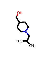 C[C](C)CN1CCC(CO)CC1